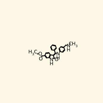 CCOC(=O)c1ccc2c(c1)NC(=O)/C2=C(\Nc1ccc(CNC)cc1)c1ccccc1